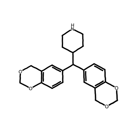 c1cc2c(cc1C(c1ccc3c(c1)COCO3)C1CCNCC1)COCO2